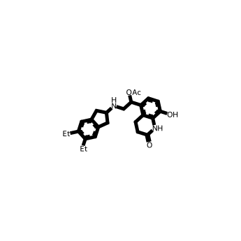 CCc1cc2c(cc1CC)CC(NCC(OC(C)=O)c1ccc(O)c3c1CCC(=O)N3)C2